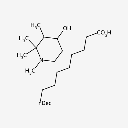 CC1C(O)CCN(C)C1(C)C.CCCCCCCCCCCCCCCCCC(=O)O